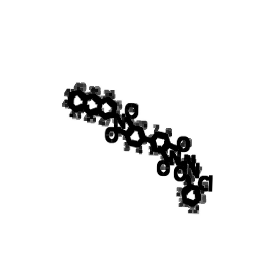 O=C1c2ccc(-c3ccc4c(c3)C(=O)N(c3nnc(-c5ccccc5Cl)o3)C4=O)cc2C(=O)N1c1ccc2cc3ccccc3cc2c1